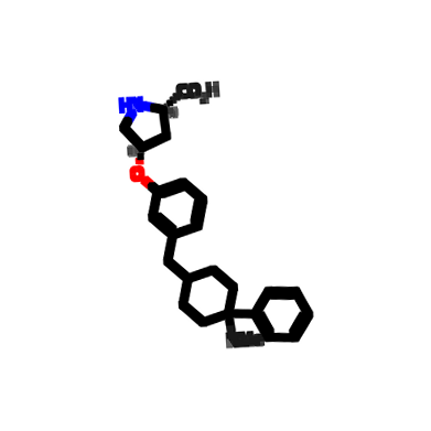 CNC1(c2ccccc2)CCC(Cc2cccc(O[C@@H]3CN[C@H](C(=O)O)C3)c2)CC1